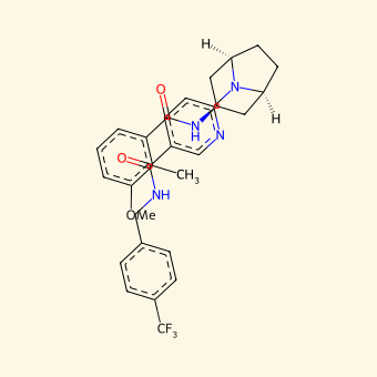 COc1cccc(C(=O)N[C@H]2C[C@H]3CC[C@@H](C2)N3c2ccc(C(=O)NCc3ccc(C(F)(F)F)cc3)cn2)c1C